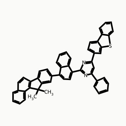 CC1(C)c2cc(-c3ccc(-c4nc(-c5ccccc5)cc(-c5ccc6c(c5)sc5ccccc56)n4)c4ccccc34)ccc2-c2ccc3ccccc3c21